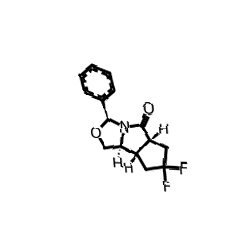 O=C1[C@@H]2CC(F)(F)C[C@@H]2[C@H]2CO[C@@H](c3ccccc3)N12